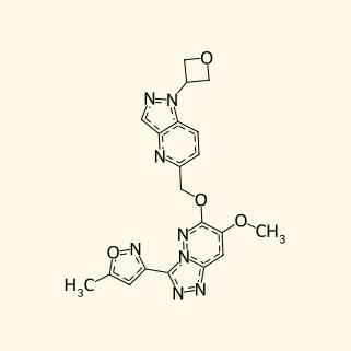 COc1cc2nnc(-c3cc(C)on3)n2nc1OCc1ccc2c(cnn2C2COC2)n1